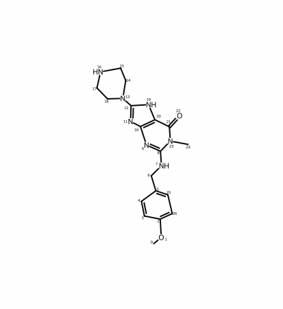 COc1ccc(CNc2nc3nc(N4CCNCC4)[nH]c3c(=O)n2C)cc1